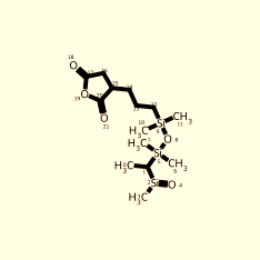 CC([Si](C)=O)[Si](C)(C)O[Si](C)(C)CCCC1CC(=O)OC1=O